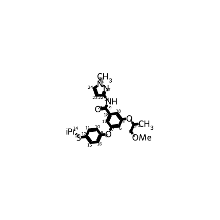 COCC(C)Oc1cc(Oc2ccc(SC(C)C)cc2)cc(C(=O)Nc2ccn(C)n2)c1